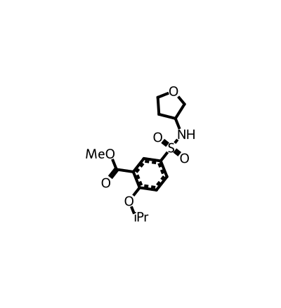 COC(=O)c1cc(S(=O)(=O)NC2CCOC2)ccc1OC(C)C